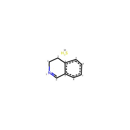 C1=NCCc2ccccc21.S